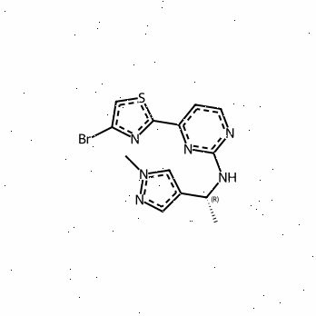 C[C@@H](Nc1nccc(-c2nc(Br)cs2)n1)c1cnn(C)c1